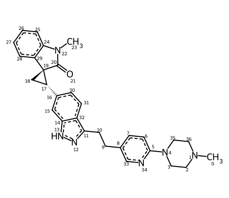 CN1CCN(c2ccc(CCc3n[nH]c4cc([C@@H]5C[C@@]56C(=O)N(C)c5ccccc56)ccc34)cn2)CC1